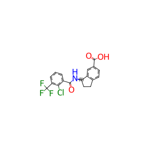 O=C(O)c1ccc2c(c1)[C@H](NC(=O)c1cccc(C(F)(F)F)c1Cl)CC2